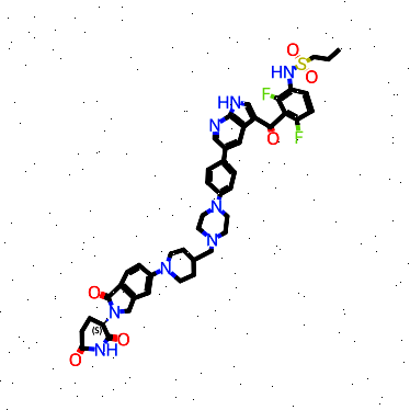 CCCS(=O)(=O)Nc1ccc(F)c(C(=O)c2c[nH]c3ncc(-c4ccc(N5CCN(CC6CCN(c7ccc8c(c7)CN([C@H]7CCC(=O)NC7=O)C8=O)CC6)CC5)cc4)cc23)c1F